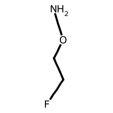 NOCCF